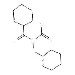 NC(=S)N(SC1CCCCC1)C(=O)C1CCCCC1